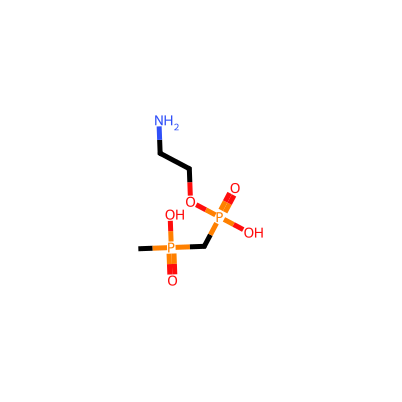 CP(=O)(O)CP(=O)(O)OCCN